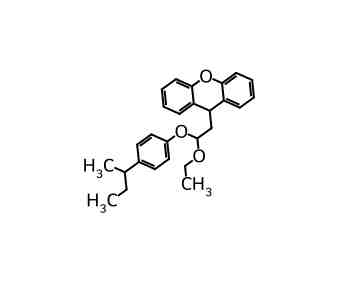 CCOC(CC1c2ccccc2Oc2ccccc21)Oc1ccc(C(C)CC)cc1